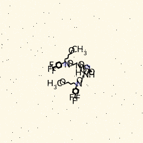 COCCCC/C(=N\OCCNOC(=O)/C=C\C(=O)ONCCO/N=C(\CCCCOC)c1ccc(C(F)(F)F)cc1)c1ccc(C(F)(F)F)cc1